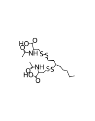 CCCCCC(CCSSCC(NC(C)=O)C(=O)O)SSCC(NC(C)=O)C(=O)O